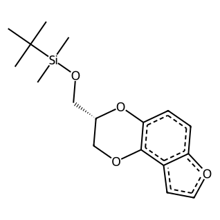 CC(C)(C)[Si](C)(C)OC[C@H]1COc2c(ccc3occc23)O1